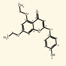 CCOc1cc(OCC)c2c(=O)cc(Sc3ccc(O)cc3)oc2c1